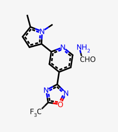 Cc1ccc(-c2cc(-c3noc(C(F)(F)F)n3)ccn2)n1C.NC=O